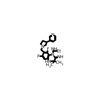 CCC(=N)N1C(=N)C(C)(C)Nc2cc(F)c(CN3CCC(c4cccnc4)C3)c(F)c21